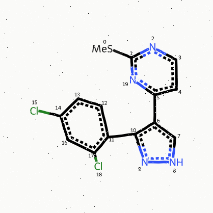 CSc1nccc(-c2c[nH]nc2-c2ccc(Cl)cc2Cl)n1